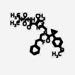 COc1ccc(C2(C(=O)N(Cc3nc(C(=O)NS(=O)(=O)N(C)C)c(C)s3)CC(F)Cc3ccccc3)CC2)cc1